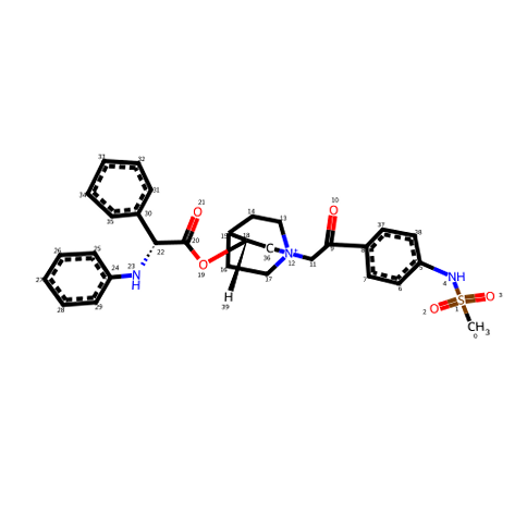 CS(=O)(=O)Nc1ccc(C(=O)C[N+]23CCC(CC2)[C@@H](OC(=O)[C@H](Nc2ccccc2)c2ccccc2)C3)cc1